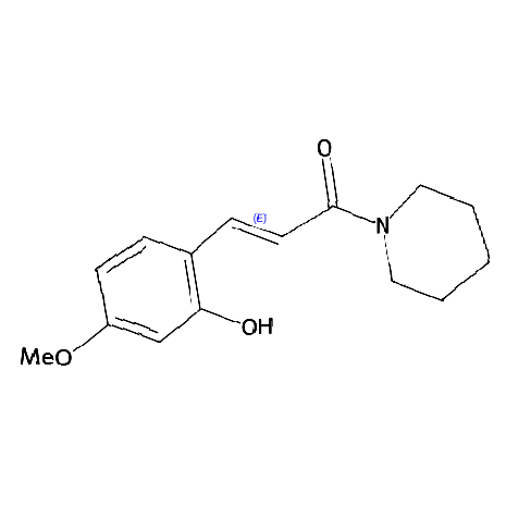 COc1ccc(/C=C/C(=O)N2CCCCC2)c(O)c1